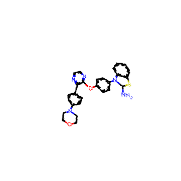 NC1Sc2ccccc2N1c1ccc(Oc2nccnc2-c2ccc(N3CCOCC3)cc2)cc1